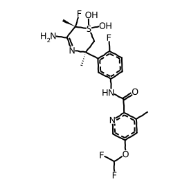 Cc1cc(OC(F)F)cnc1C(=O)Nc1ccc(F)c([C@]2(C)CS(O)(O)[C@@](C)(F)C(N)=N2)c1